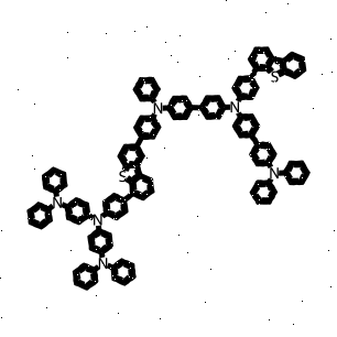 c1ccc(N(c2ccccc2)c2ccc(-c3ccc(N(c4ccc(-c5ccc(N(c6ccccc6)c6ccc(-c7ccc8sc9c(-c%10ccc(N(c%11ccc(N(c%12ccccc%12)c%12ccccc%12)cc%11)c%11ccc(N(c%12ccccc%12)c%12ccccc%12)cc%11)cc%10)cccc9c8c7)cc6)cc5)cc4)c4ccc(-c5cccc6c5sc5ccccc56)cc4)cc3)cc2)cc1